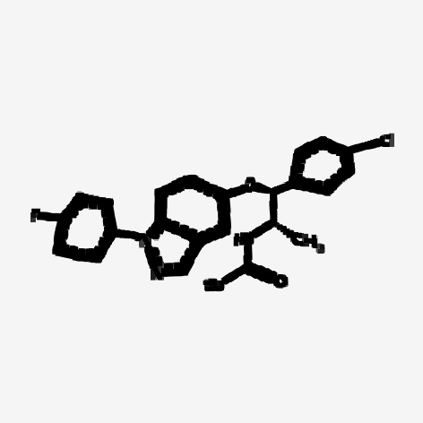 C[C@H](NC(=O)C(C)(C)C)[C@@H](Oc1ccc2c(cnn2-c2ccc(F)cc2)c1)c1ccc(Cl)cc1